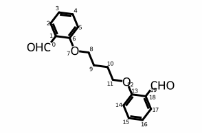 O=Cc1ccccc1OCCCCOc1ccccc1C=O